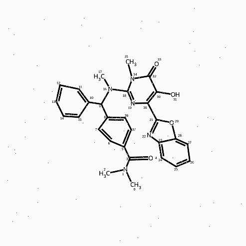 CN(C)C(=O)c1ccc(C(c2ccccc2)N(C)c2nc(-c3nc4ccccc4o3)c(O)c(=O)n2C)cc1